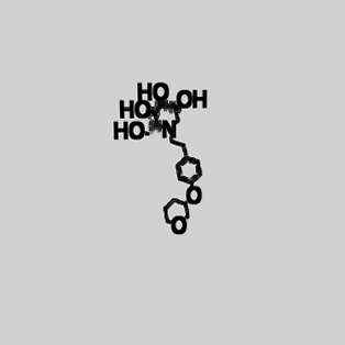 OC[C@@H]1[C@@H](O)[C@H](O)[C@@H](O)CN1CCc1ccc(OC2CCCOC2)cc1